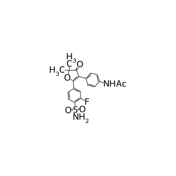 CC(=O)Nc1ccc(C2=C(c3ccc(S(N)(=O)=O)c(F)c3)OC(C)(C)C2=O)cc1